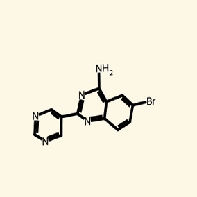 Nc1nc(-c2cncnc2)nc2ccc(Br)cc12